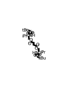 CC(C)[C@@H](COC(=O)/C=C/C(=O)OC[C@@H](NS(=O)(=O)CC(C)(C)C)C(C)C)NS(=O)(=O)CC(C)(C)C